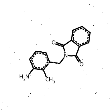 Cc1c(N)cccc1CN1C(=O)c2ccccc2C1=O